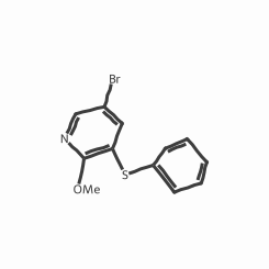 COc1ncc(Br)cc1Sc1ccccc1